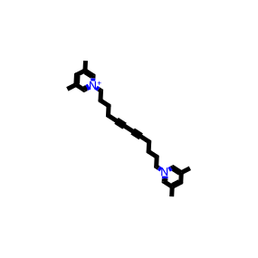 Cc1cc(C)c[n+](CCCCC#CC#CCCCC[n+]2cc(C)cc(C)c2)c1